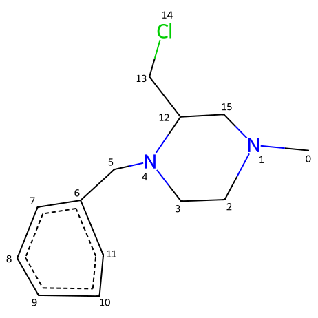 CN1CCN(Cc2ccccc2)C(CCl)C1